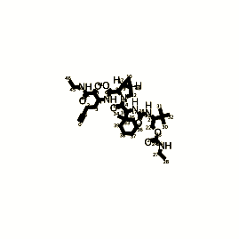 C#CCCC(NC(=O)C1[C@H]2C[C@H]2CN1C(=O)C(NC(=O)NC(COC(=O)NCC)C(C)(C)C)C1(C)CCCCC1)C(=O)C(=O)NCC